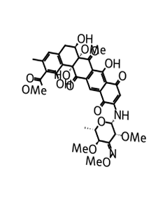 CON=C1[C@@H](OC)[C@H](C)O[C@H](NC2=CC(=O)c3c(cc4c(c3O)C(=O)[C@]3(OC)[C@H](O)Cc5cc(C)c(C(=O)OC)c(O)c5[C@]3(O)C4=O)C2=O)[C@@H]1OC